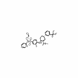 CN(C)[C@H]1C[C@@H](c2cccc(C(F)(F)F)c2)CC[C@@H]1Nc1ccc(S(=O)(=O)N(OC=O)c2ccncn2)cc1F